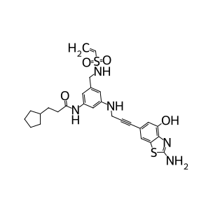 C=CS(=O)(=O)NCc1cc(NCC#Cc2cc(O)c3nc(N)sc3c2)cc(NC(=O)CCC2CCCC2)c1